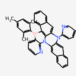 Cc1cc(C)c(B2c3cccnc3N3c4cc5ccccc5cc4N(c4ccccn4)c4cc5ccccc5c2c43)c(C)c1